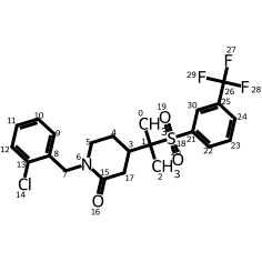 CC(C)(C1CCN(Cc2ccccc2Cl)C(=O)C1)S(=O)(=O)c1cccc(C(F)(F)F)c1